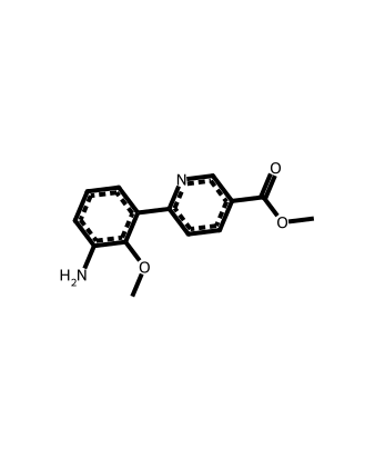 COC(=O)c1ccc(-c2cccc(N)c2OC)nc1